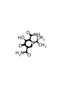 CC(C)n1cc(C(N)=O)c(=O)c(O)c1C(N)=O